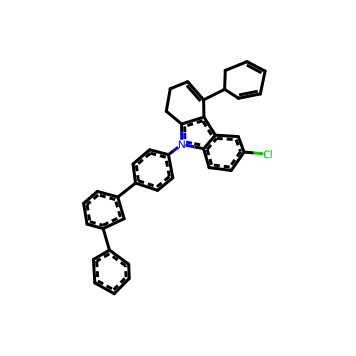 Clc1ccc2c(c1)c1c(n2-c2ccc(-c3cccc(-c4ccccc4)c3)cc2)CCC=C1C1C=CC=CC1